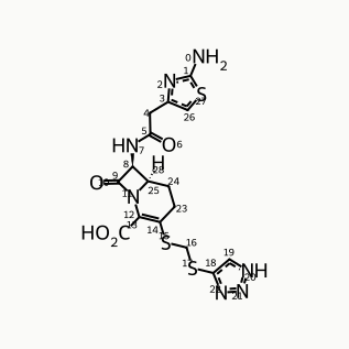 Nc1nc(CC(=O)N[C@@H]2C(=O)N3C(C(=O)O)=C(SCSc4c[nH]nn4)CC[C@H]23)cs1